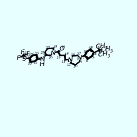 CC(C)(C)c1ccc(N2CCCN(CCCC(=O)N3CCCC(Nc4ccc(SC(F)(F)F)cc4)C3)CC2)cc1